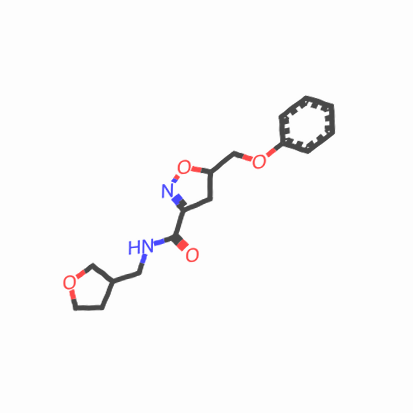 O=C(NCC1CCOC1)C1=NOC(COc2ccccc2)C1